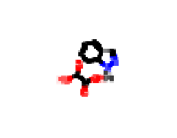 CC(C)n1ncc2ccccc21.O=C(O)C(=O)O